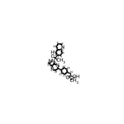 CC(C)(c1ccc2ncccc2c1)n1nnc2ncc(-c3ccc(CP(C)(=O)O)cc3)nc21